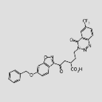 O=C(CC(CCn1nnc2ccc(C(F)(F)F)cc2c1=O)C(=O)O)c1noc2cc(OCc3ccccc3)ccc12